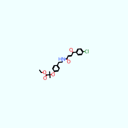 CCOC(=O)C(C)(C)Oc1ccc(CCNC(=O)C=CC(=O)c2ccc(Cl)cc2)cc1